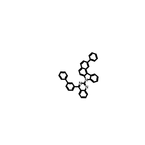 c1ccc(-c2cccc(-c3nc(-n4c5ccccc5c5c6cc(-c7ccccc7)ccc6ccc54)nc4ccccc34)c2)cc1